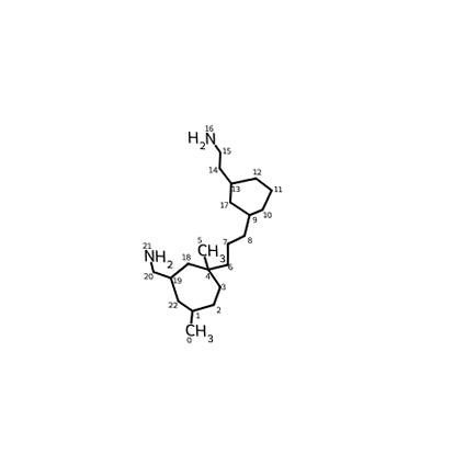 CC1CCC(C)(CCCC2CCCC(CCN)C2)CC(CN)C1